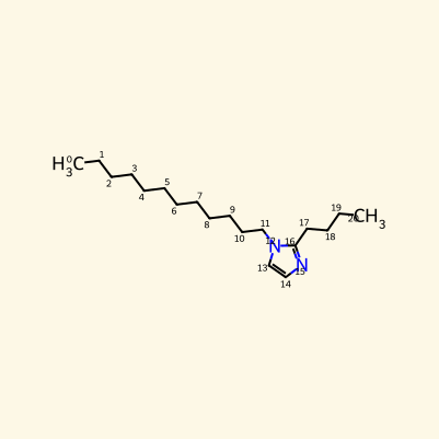 CCCCCCCCCCCCn1ccnc1CCCC